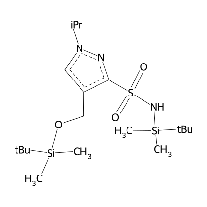 CC(C)n1cc(CO[Si](C)(C)C(C)(C)C)c(S(=O)(=O)N[Si](C)(C)C(C)(C)C)n1